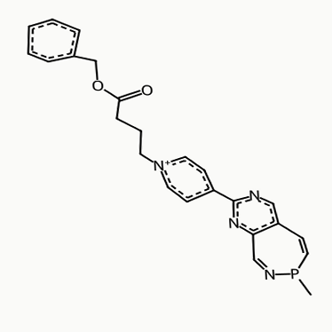 CP1C=Cc2cnc(-c3cc[n+](CCCC(=O)OCc4ccccc4)cc3)nc2C=N1